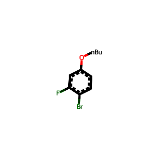 CCCCOc1ccc(Br)c(F)c1